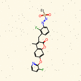 CCS(=O)(=O)N=Nc1cccc(Cc2c(C)c3ccc(Oc4ncccc4F)cc3oc2=O)c1F